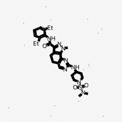 CCc1cccc(CC)c1NC(=O)c1nn(C)c2c1CCc1cnc(NC3CCN(S(=O)(=O)N(C)C)CC3)nc1-2